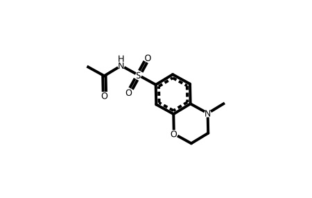 CC(=O)NS(=O)(=O)c1ccc2c(c1)OCCN2C